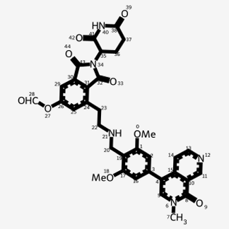 COc1cc(-c2cn(C)c(=O)c3cnccc23)cc(OC)c1CNCCc1cc(OC=O)cc2c1C(=O)N(C1CCC(=O)NC1=O)C2=O